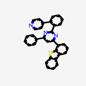 c1ccc(-c2cc(-c3cccc4c3sc3ccccc34)nc(-c3ccccc3-c3ccncc3)n2)cc1